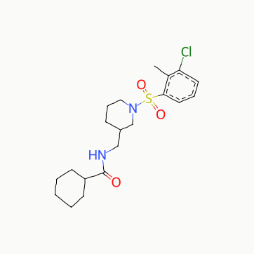 Cc1c(Cl)cccc1S(=O)(=O)N1CCCC(CNC(=O)C2CCCCC2)C1